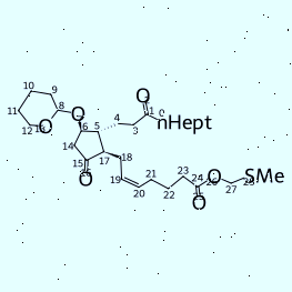 CCCCCCCC(=O)CC[C@H]1[C@H](OC2CCCCO2)CC(=O)[C@@H]1C/C=C\CCCC(=O)OCSC